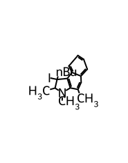 CCCCC1(I)c2c(c(C)cc3ccccc23)N(C)C1C